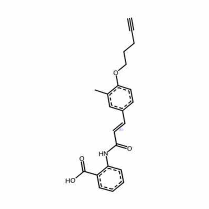 C#CCCCOc1ccc(/C=C/C(=O)Nc2ccccc2C(=O)O)cc1C